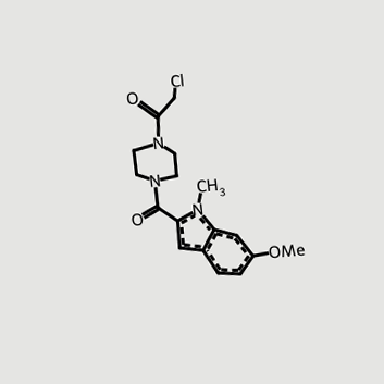 COc1ccc2cc(C(=O)N3CCN(C(=O)CCl)CC3)n(C)c2c1